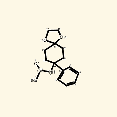 CC(C)(C)[S+]([O-])NC1(c2ccccc2)CCC2(CC1)OCCO2